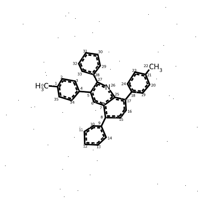 Cc1ccc(-c2cc3c(-c4ccccc4)ccc(-c4ccc(C)cc4)c3nc2-c2ccccc2)cc1